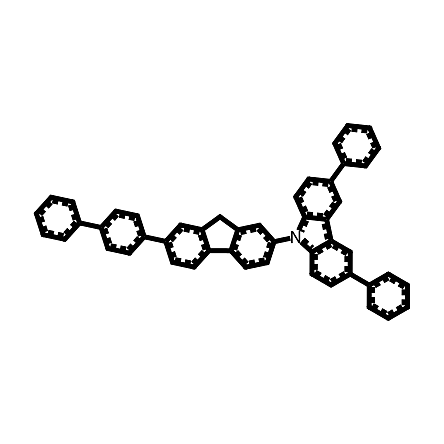 c1ccc(-c2ccc(-c3ccc4c(c3)Cc3cc(-n5c6ccc(-c7ccccc7)cc6c6cc(-c7ccccc7)ccc65)ccc3-4)cc2)cc1